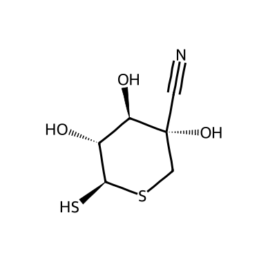 N#C[C@@]1(O)CS[C@@H](S)[C@H](O)[C@H]1O